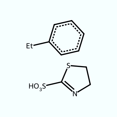 CCc1ccccc1.O=S(=O)(O)C1=NCCS1